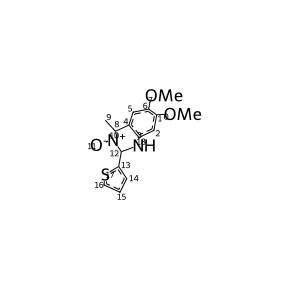 COc1cc2c(cc1OC)C(C)=[N+]([O-])C(c1cccs1)N2